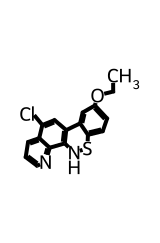 CCOc1ccc2c(c1)-c1cc(Cl)c3cccnc3c1NS2